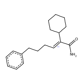 NC(=O)/C(=C/CCCc1ccccc1)C1CCCCC1